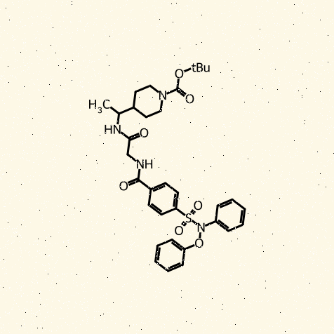 CC(NC(=O)CNC(=O)c1ccc(S(=O)(=O)N(Oc2ccccc2)c2ccccc2)cc1)C1CCN(C(=O)OC(C)(C)C)CC1